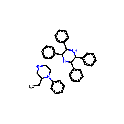 CCC1CNCCN1c1ccccc1.c1ccc(C2NC(c3ccccc3)C(c3ccccc3)NC2c2ccccc2)cc1